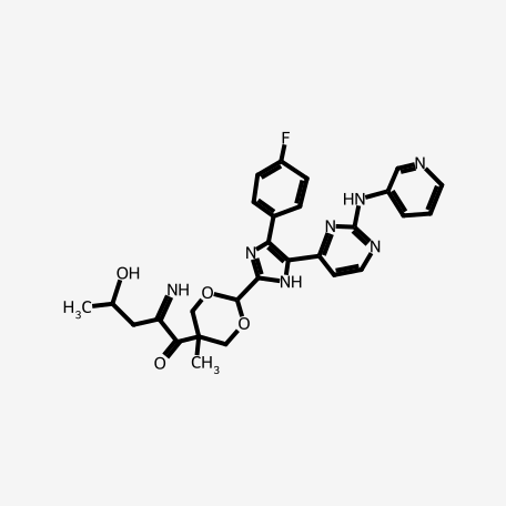 CC(O)CC(=N)C(=O)C1(C)COC(c2nc(-c3ccc(F)cc3)c(-c3ccnc(Nc4cccnc4)n3)[nH]2)OC1